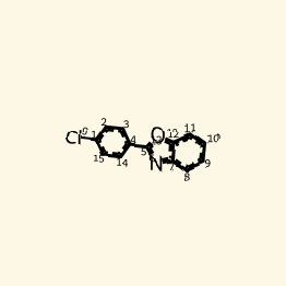 Clc1ccc(-c2nc3ccccc3o2)cc1